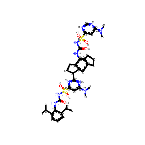 CC(C)c1cccc(C(C)C)c1NC(=O)NS(=O)(=O)c1cc(N(C)C)nc(C2CCc3c2cc2c(c3NC(=O)NS(=O)(=O)c3cc(N(C)C)ncn3)CCC2)n1